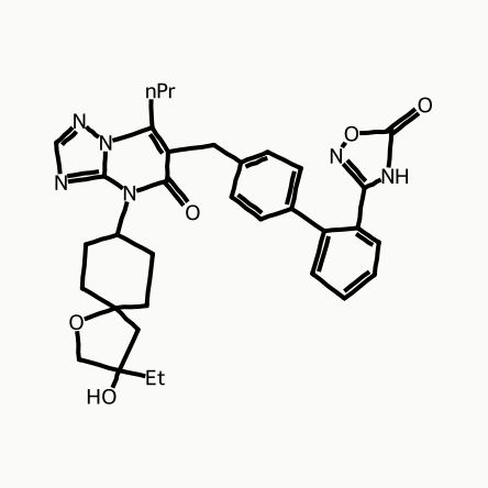 CCCc1c(Cc2ccc(-c3ccccc3-c3noc(=O)[nH]3)cc2)c(=O)n(C2CCC3(CC2)CC(O)(CC)CO3)c2ncnn12